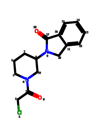 O=C(CCl)N1CCCC(N2Cc3ccccc3C2=O)C1